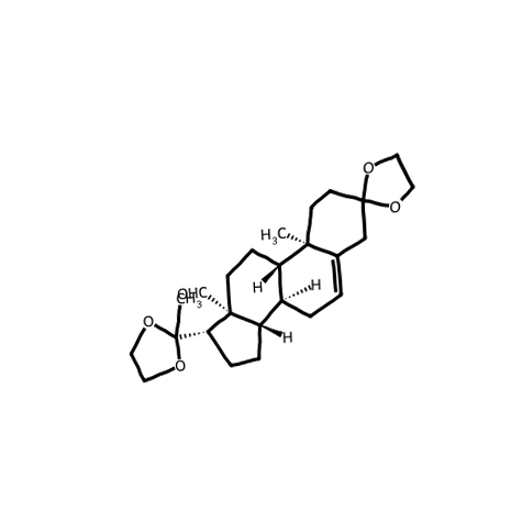 CC1([C@H]2CC[C@H]3[C@@H]4CC=C5CC6(CC[C@]5(C)[C@H]4CC[C@]23C=O)OCCO6)OCCO1